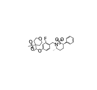 CC(Oc1ccc(CN2[C@@H](C)CC[C@H](c3ccccc3)S2(=O)=O)c(F)c1)C1(S(C)(=O)=O)CCOCC1